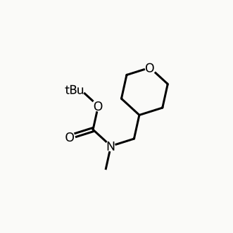 CN(CC1CCOCC1)C(=O)OC(C)(C)C